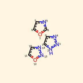 c1c[nH]nn1.c1cocn1.c1conn1